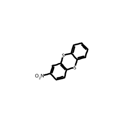 O=[N+]([O-])c1[c]c2c(cc1)Sc1ccccc1S2